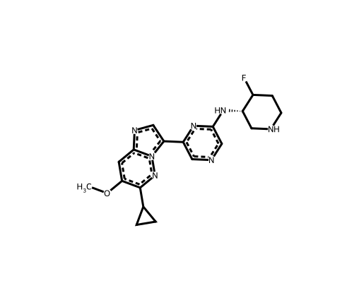 COc1cc2ncc(-c3cncc(N[C@H]4CNCCC4F)n3)n2nc1C1CC1